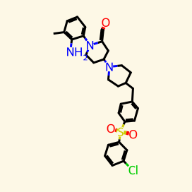 Cc1cccc(N2CCC(N3CCC(Cc4ccc(S(=O)(=O)c5cccc(Cl)c5)cc4)CC3)CC2=C=O)c1N